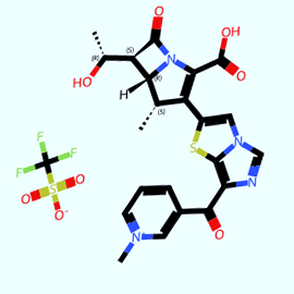 C[C@@H](O)[C@H]1C(=O)N2C(C(=O)O)=C(c3cn4cnc(C(=O)c5ccc[n+](C)c5)c4s3)[C@H](C)[C@H]12.O=S(=O)([O-])C(F)(F)F